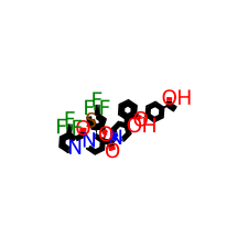 C=C(O)[C@H]1CC[C@H](Oc2ccccc2C2(O)CCN(C(=O)[C@]3(Oc4csc(C(F)(F)F)c4)CCCN(C(=O)c4ncccc4C(F)(F)F)[C@@H]3CCC)CC2)CC1